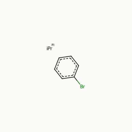 [CH2][C@H](C)c1ccc(Br)cc1